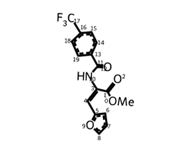 COC(=O)C(=Cc1ccco1)NC(=O)c1ccc(C(F)(F)F)cc1